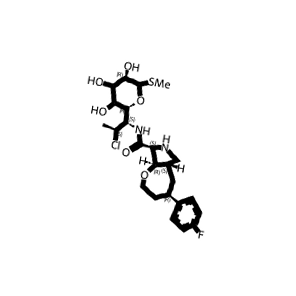 CSC1O[C@H]([C@H](NC(=O)[C@H]2NC[C@@H]3C[C@@H](c4ccc(F)cc4)CCO[C@H]32)[C@H](C)Cl)C(O)C(O)[C@H]1O